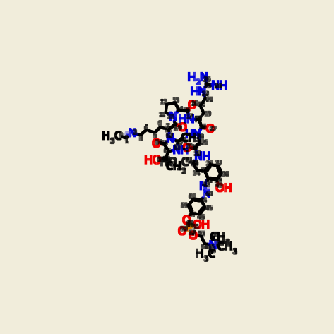 C/C=N/CCCC[C@@H](C(=O)N1CCCC1C(=O)N[C@@H](CCCNC(=N)N)C(=O)NCC(=O)N[C@@H](Cc1cccc(O)c1/N=N/c1ccc(OP(=O)(O)OCC[N+](C)(C)C)cc1)C(=O)O)N1C(=O)C([C@@H](C)O)NC1C